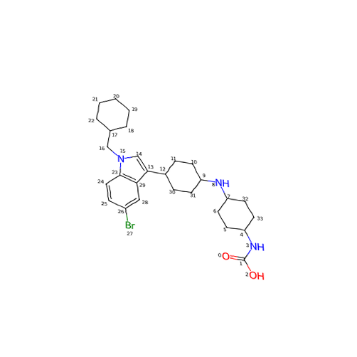 O=C(O)NC1CCC(NC2CCC(c3cn(CC4CCCCC4)c4ccc(Br)cc34)CC2)CC1